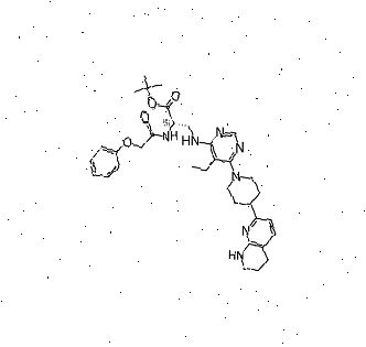 CCc1c(NC[C@H](NC(=O)COc2ccccc2)C(=O)OC(C)(C)C)ncnc1N1CCC(c2ccc3c(n2)NCCC3)CC1